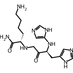 NCCCC[C@H](NCC(=O)[C@H](Cc1cnc[nH]1)Nc1cnc[nH]1)C(N)=O